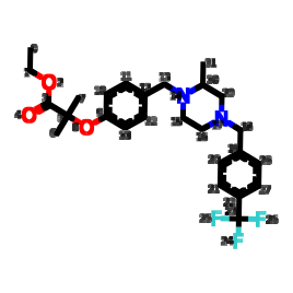 CCOC(=O)C(C)(C)Oc1ccc(CN2CCN(Cc3ccc(C(F)(F)F)cc3)CC2C)cc1